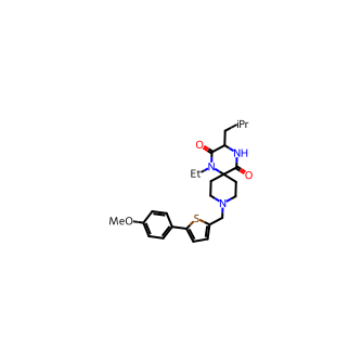 CCN1C(=O)C(CC(C)C)NC(=O)C12CCN(Cc1ccc(-c3ccc(OC)cc3)s1)CC2